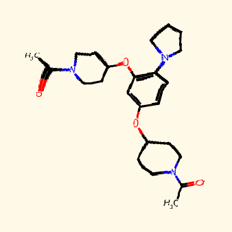 CC(=O)N1CCC(Oc2ccc(N3CCCC3)c(OC3CCN(C(C)=O)CC3)c2)CC1